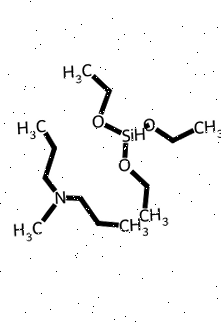 CCCN(C)CCC.CCO[SiH](OCC)OCC